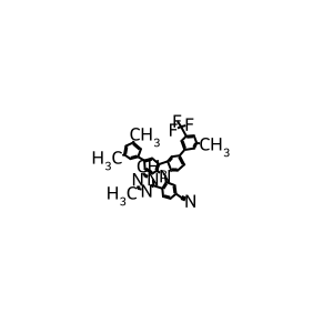 Cc1cc(C)cc(-c2ccc3c(c2)c2cc(-c4cc(C)cc(C(F)(F)F)c4)ccc2n3-c2cc(C#N)ccc2-c2nc(C)nc(C)n2)c1